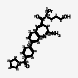 CCCN(CCCO)C(=O)C1=Cc2ccc(-c3ccc(C(=O)N4CCCC4)cc3)cc2N=C(N)C1